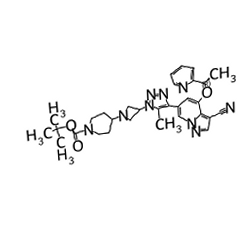 Cc1c(-c2cc(O[C@H](C)c3ccccn3)c3c(C#N)cnn3c2)nnn1C1CN(C2CCN(C(=O)OC(C)(C)C)CC2)C1